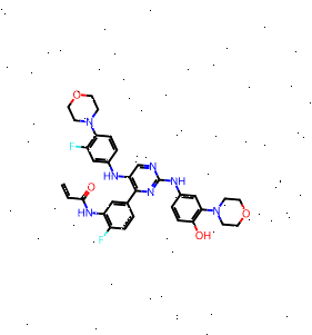 C=CC(=O)Nc1cc(-c2nc(Nc3ccc(O)c(N4CCOCC4)c3)ncc2Nc2ccc(N3CCOCC3)c(F)c2)ccc1F